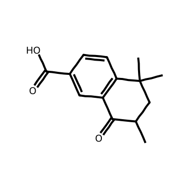 CC1CC(C)(C)c2ccc(C(=O)O)cc2C1=O